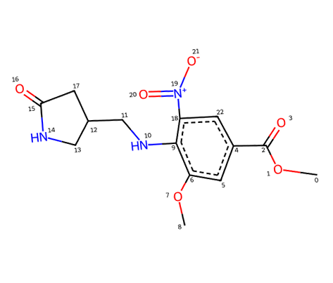 COC(=O)c1cc(OC)c(NCC2CNC(=O)C2)c([N+](=O)[O-])c1